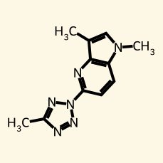 Cc1nnn(-c2ccc3c(n2)c(C)cn3C)n1